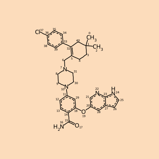 CC1(C)CCC(CN2CCN(c3ccc(C(N)=O)c(Oc4cnc5[nH]ccc5c4)c3)CC2)=C(c2ccc(Cl)cc2)C1